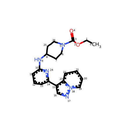 CCOC(=O)N1CCC(Nc2cccc(-c3cnn4ccccc34)n2)CC1